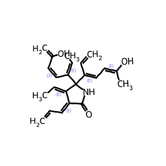 C=C/C=C1/C(=O)NC(/C(C=C)=C/C=C(\C)O)(C(/C=C\C(=C)O)=C/C)/C1=C/C